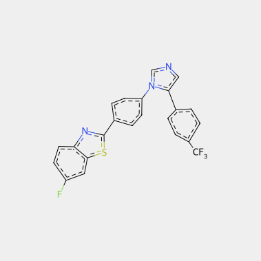 Fc1ccc2nc(-c3ccc(-n4cncc4-c4ccc(C(F)(F)F)cc4)cc3)sc2c1